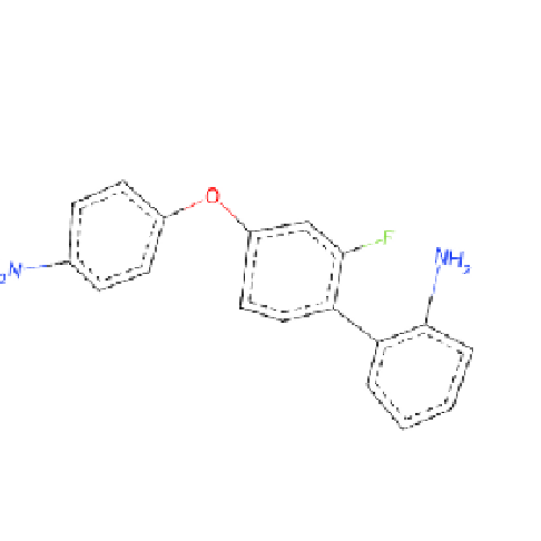 Nc1ccc(Oc2ccc(-c3ccccc3N)c(F)c2)cc1